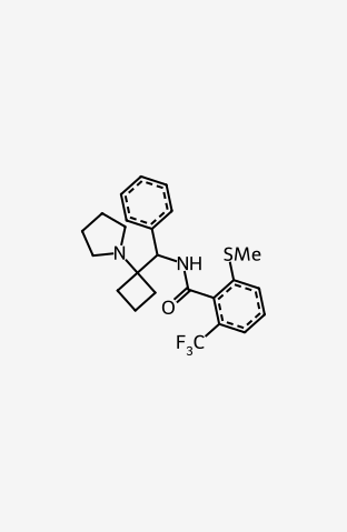 CSc1cccc(C(F)(F)F)c1C(=O)NC(c1ccccc1)C1(N2CCCC2)CCC1